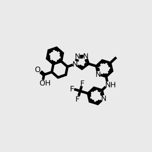 Cc1cc(Nc2cc(C(F)(F)F)ccn2)nc(-c2cn(C3CCC(C(=O)O)c4ccccc43)nn2)c1